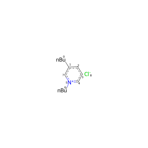 CCCCc1ccc[n+](CCCC)c1.[Cl-]